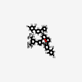 Cc1cc(C)c(-c2ccc3c(c2)c2ccccc2n3-c2ccc(C#N)c(-c3cc(-c4cc(C(F)(F)F)cc(C(F)(F)F)c4)ccc3-n3c4ccccc4c4cc(-c5c(C)cc(C)cc5C)ccc43)c2)c(C)c1